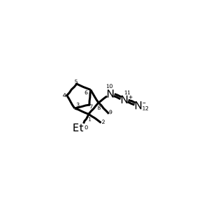 CCC1(C)C2CCC(C2)C1(C)N=[N+]=[N-]